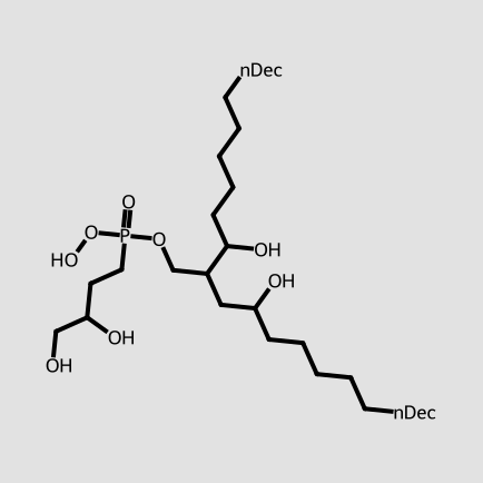 CCCCCCCCCCCCCCCC(O)CC(COP(=O)(CCC(O)CO)OO)C(O)CCCCCCCCCCCCCCC